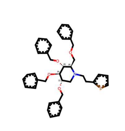 c1ccc(COC[C@@H]2[C@@H](OCc3ccccc3)[C@H](OCc3ccccc3)[C@@H](OCc3ccccc3)CN2CCc2cccs2)cc1